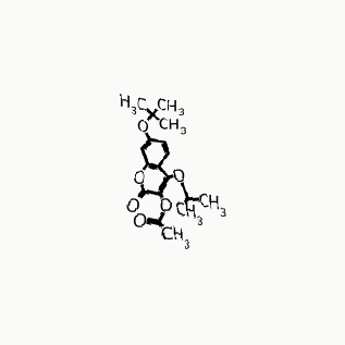 CC(=O)Oc1c(OC(C)C)c2ccc(OC(C)(C)C)cc2oc1=O